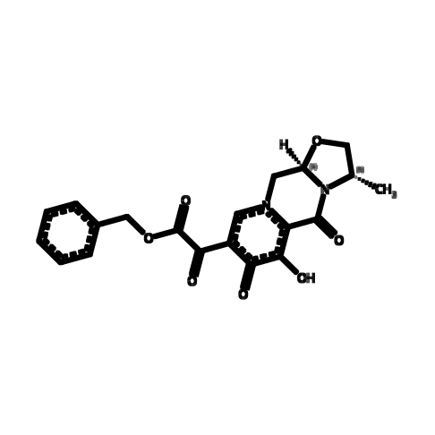 C[C@H]1CO[C@@H]2Cn3cc(C(=O)C(=O)OCc4ccccc4)c(=O)c(O)c3C(=O)N12